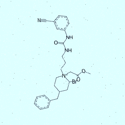 COC(=O)C[N+]1(CCCNC(=O)Nc2cccc(C#N)c2)CCC(Cc2ccccc2)CC1Br